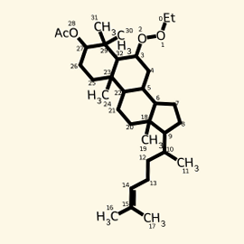 CCOOC1CC2C3CCC(C(C)CCC=C(C)C)C3(C)CCC2C2(C)CCC(OC(C)=O)C(C)(C)C12